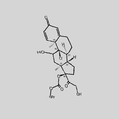 CCCOC(=O)O[C@]1(C(=O)CO)CC[C@H]2[C@@H]3CCC4=CC(=O)C=C[C@]4(C)[C@@]3(Cl)C(O)C[C@@]21C